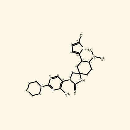 Cc1nc(N2CCOCC2)ncc1N1CC2(CCC(N(C)C)C(c3ccc(Cl)s3)C2)NC1=O